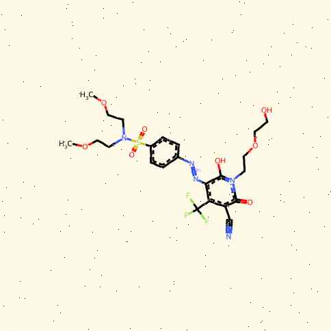 COCCN(CCOC)S(=O)(=O)c1ccc(/N=N/c2c(C(F)(F)F)c(C#N)c(=O)n(CCOCCO)c2O)cc1